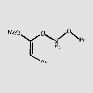 COC(=CC(C)=O)O[SiH2]OC(C)C